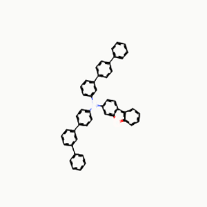 c1ccc(-c2ccc(-c3cccc(N(c4ccc(-c5cccc(-c6ccccc6)c5)cc4)c4ccc5c(c4)oc4ccccc45)c3)cc2)cc1